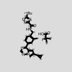 Cc1cc(-c2ncnn3cc(C4CC4)cc23)ccc1CNC(=O)c1noc(C(C)(C)C)n1.O=C(O)C(F)(F)F